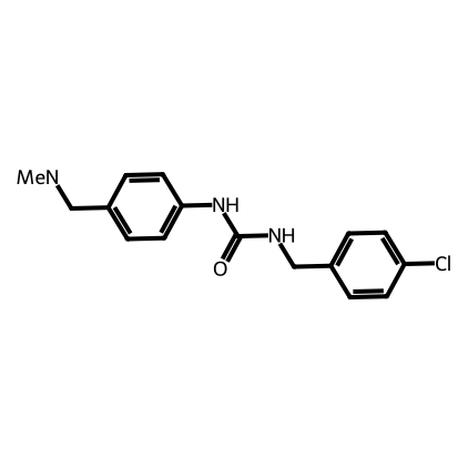 CNCc1ccc(NC(=O)NCc2ccc(Cl)cc2)cc1